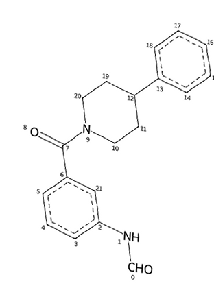 O=CNc1cccc(C(=O)N2CCC(c3ccccc3)CC2)c1